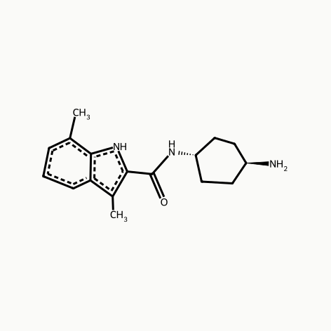 Cc1c(C(=O)N[C@H]2CC[C@H](N)CC2)[nH]c2c(C)cccc12